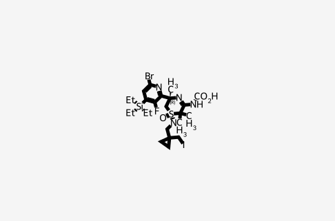 CC[Si](CC)(CC)c1cc(Br)nc([C@]2(C)CS(=O)(=NCC3(CI)CC3)C(C)(C)C(NC(=O)O)=N2)c1F